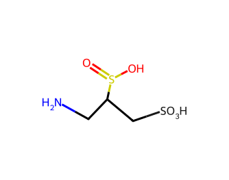 NCC(CS(=O)(=O)O)S(=O)O